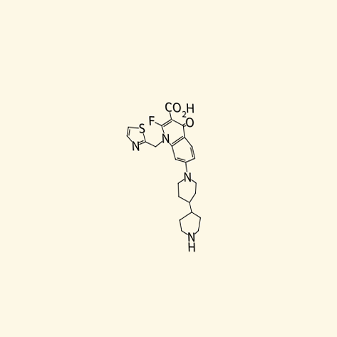 O=C(O)c1c(F)n(Cc2nccs2)c2cc(N3CCC(C4CCNCC4)CC3)ccc2c1=O